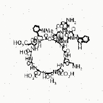 CCCCCCCCCC(=O)N[C@@H](Cc1c[nH]c2ccccc12)C(=O)N[C@H](CC(N)=O)C(=O)N[C@@H](CC(=O)O)C(=O)N[C@@H]1C(=O)NCC(=O)N[C@@H](CCCN)C(=O)N[C@@H](CC(=O)O)C(=O)N[C@H](C)C(=O)N[C@@H](CC(=O)O)C(=O)NCC(=O)N[C@H](CO)C(=O)NC(C(C)CC(=O)O)C(=O)N[C@@H](CC(=O)c2ccccc2NC)C(=O)O[C@@H]1C